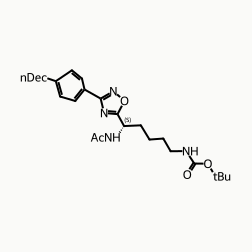 CCCCCCCCCCc1ccc(-c2noc([C@H](CCCCNC(=O)OC(C)(C)C)NC(C)=O)n2)cc1